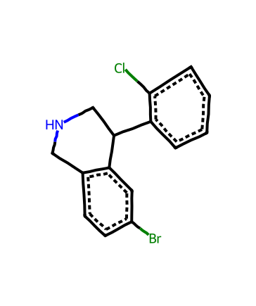 Clc1ccccc1C1CNCc2ccc(Br)cc21